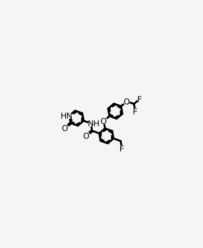 O=C(Nc1cc[nH]c(=O)c1)c1ccc(CF)cc1Oc1ccc(OC(F)F)cc1